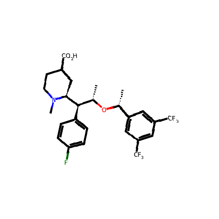 C[C@H](O[C@H](C)c1cc(C(F)(F)F)cc(C(F)(F)F)c1)[C@@H](c1ccc(F)cc1)[C@@H]1CC(C(=O)O)CCN1C